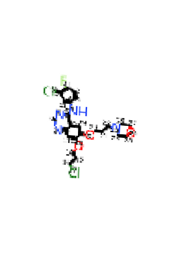 Fc1ccc(Nc2ncnc3cc(OCCCCl)c(OCCCN4CCOCC4)cc23)cc1Cl